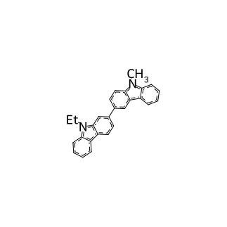 CCn1c2ccccc2c2ccc(-c3ccc4c(c3)c3ccccc3n4C)cc21